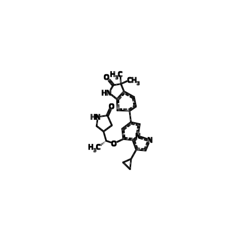 C[C@@H](Oc1cc(-c2ccc3c(c2)NC(=O)C3(C)C)cn2ncc(C3CC3)c12)C1CNC(=O)C1